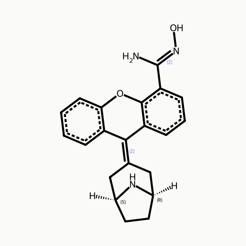 N/C(=N\O)c1cccc2c1Oc1ccccc1/C2=C1/C[C@H]2CC[C@@H](C1)N2